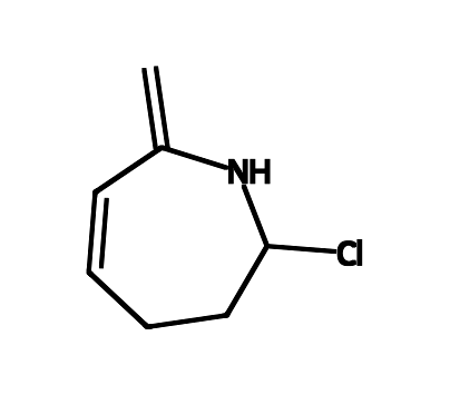 C=C1C=CCCC(Cl)N1